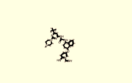 CN1CCN(c2nc(NC(=O)NC3CCC(Oc4ccc(=N)n(C=N)c4)c4ccccc43)cc(C(C)(C)C)n2)CC1